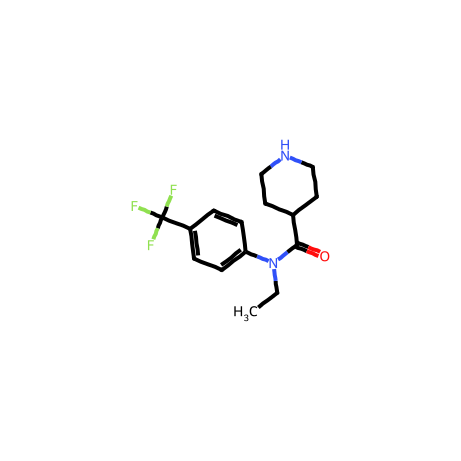 CCN(C(=O)C1CCNCC1)c1ccc(C(F)(F)F)cc1